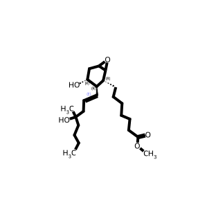 CCCCC(C)(O)C/C=C/[C@H]1[C@H](O)CC2OC2[C@@H]1CCCCCCC(=O)OC